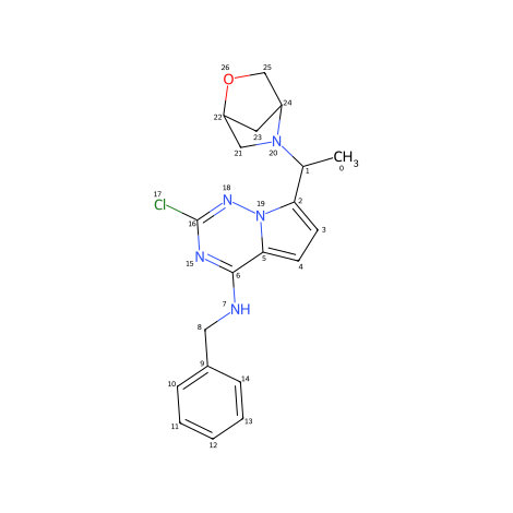 CC(c1ccc2c(NCc3ccccc3)nc(Cl)nn12)N1CC2CC1CO2